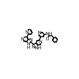 O=C(Cc1ccccc1)Nc1cncc(-c2cc3c(-c4nc5c(-c6ccccn6)cncc5[nH]4)n[nH]c3cn2)c1